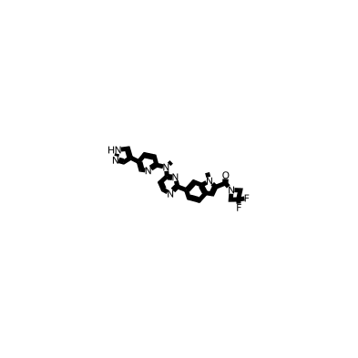 CN(c1ccc(-c2cn[nH]c2)cn1)c1ccnc(-c2ccc3cc(C(=O)N4CC(F)(F)C4)n(C)c3c2)n1